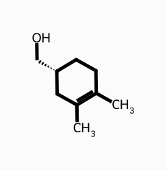 CC1=C(C)C[C@H](CO)CC1